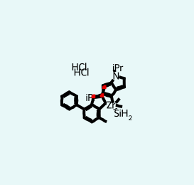 CC1=Cc2c(-c3ccccc3)ccc(C)c2[CH]1[Zr]([CH3])([CH3])(=[SiH2])[C]1=C(C(C)C)C=C2C1=CCN2C(C)C.Cl.Cl